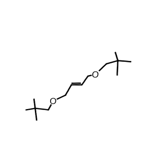 CC(C)(C)COC/C=C/COCC(C)(C)C